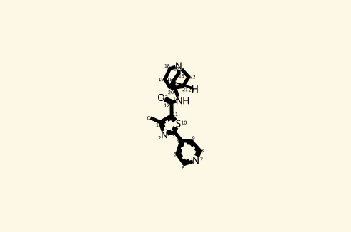 Cc1nc(-c2ccncc2)sc1C(=O)N[C@H]1CN2CCC1CC2